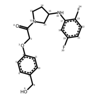 O=C(COc1ccc(CO)cc1)N1CCC(Nc2cc(F)ccc2F)C1